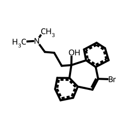 CN(C)CCCC1(O)c2ccccc2C=C(Br)c2ccccc21